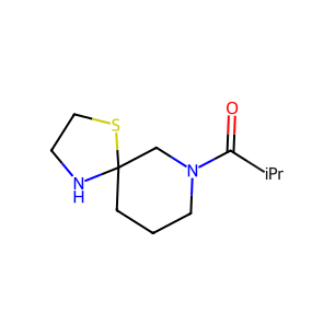 CC(C)C(=O)N1CCCC2(C1)NCCS2